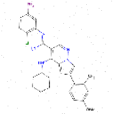 COc1ccc(-c2cc3c(NC4CCCCC4)c(/C(N)=N/c4cc(P)ccc4Cl)cnn3c2)c(C)c1